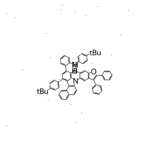 CC(C)(C)c1ccc(Nc2ccccc2-c2cc(-c3ccc(C(C)(C)C)cc3)c3c4c5ccccc5ccc4n4c3c2Bc2cc3oc(-c5ccccc5)c(-c5ccccc5)c3cc2-4)cc1